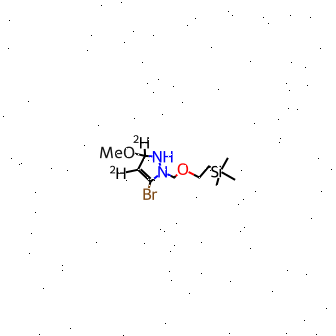 [2H]C1=C(Br)N(COCC[Si](C)(C)C)NC1([2H])OC